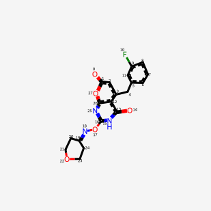 O=c1cc(Cc2cccc(F)c2)c2c(=O)[nH]c(ON=C3CCOCC3)nc2o1